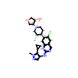 Cn1ncc(Nc2ncc3cc(Cl)c([C@@H]4CCN([C@@H]5COC[C@@H]5O)C[C@H]4F)cc3n2)c1C1CC1